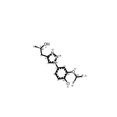 C[C@@H](O)Cc1cn(-c2ccc(Cl)c(OC(F)F)c2)nn1